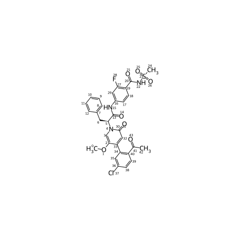 COc1cn([C@@H](Cc2ccccc2)C(=O)Nc2ccc(C(=O)NS(C)(=O)=O)c(F)c2)c(=O)cc1-c1cc(Cl)ccc1C(C)=O